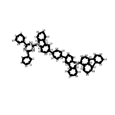 c1ccc(-c2nc(-c3ccccc3)nc(-n3c4ccccc4c4cc(-c5ccc(-c6ccc7c(c6)c6ccccc6n7-c6ccc7c8c(cccc68)-c6ccccc6-7)cc5)ccc43)n2)cc1